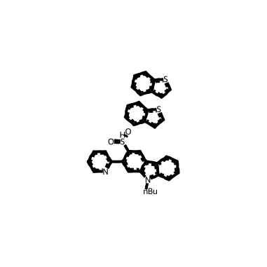 CCCCn1c2ccccc2c2cc([SH](=O)=O)c(-c3ccccn3)cc21.c1ccc2sccc2c1.c1ccc2sccc2c1